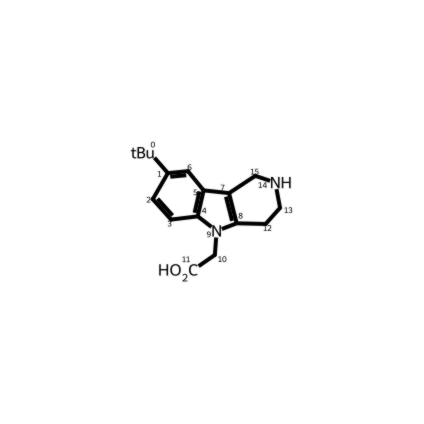 CC(C)(C)c1ccc2c(c1)c1c(n2CC(=O)O)CCNC1